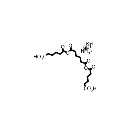 N.N.O=C(O)CCCCC(=O)OC(=O)CCCCC(=O)OC(=O)CCCCC(=O)O.[KH].[KH]